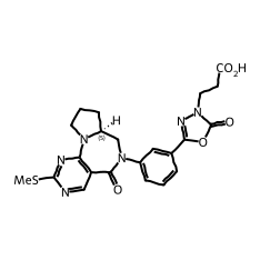 CSc1ncc2c(n1)N1CCC[C@H]1CN(c1cccc(-c3nn(CCC(=O)O)c(=O)o3)c1)C2=O